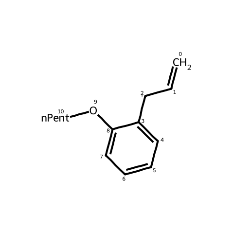 C=C[CH]c1ccccc1OCCCCC